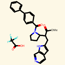 COC(=O)C(Cc1cc2ccncc2[nH]1)C1CCCN1C(=O)c1ccc(-c2ccccc2)cc1.O=C(O)C(F)(F)F